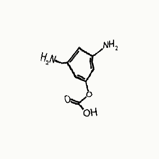 Nc1cc(N)cc(OC(=O)O)c1